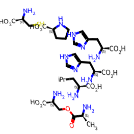 CC(C)C[C@H](N)C(=O)O.C[C@H](N)C(=O)OC[C@H](N)C(=O)O.N[C@@H](CS)C(=O)O.N[C@@H](Cc1c[nH]cn1)C(=O)O.N[C@@H](Cc1c[nH]cn1)C(=O)O.O=C(O)[C@@H]1CCCN1